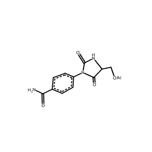 CC(=O)OCC1NC(=O)N(c2ccc(C(N)=O)cc2)C1=O